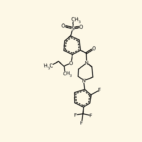 CCC(C)Oc1ccc(S(C)(=O)=O)cc1C(=O)N1CCN(c2ccc(C(F)(F)F)cc2F)CC1